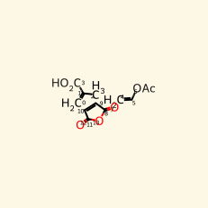 C=C(C)C(=O)O.C=COC(C)=O.O=C1C=CC(=O)O1